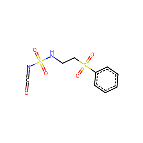 O=C=NS(=O)(=O)NCCS(=O)(=O)c1ccccc1